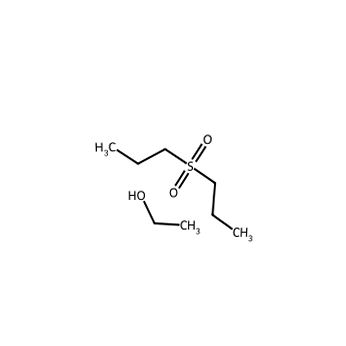 CCCS(=O)(=O)CCC.CCO